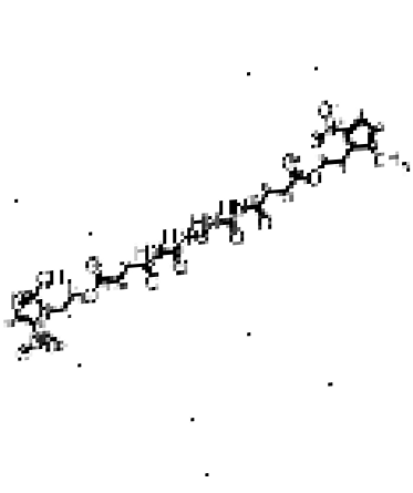 CC1=CC=C([N+](=O)[O-])C1CCOC(=O)CCC(=O)NC(=O)NONC(=O)NC(=O)CCC(=O)OCCn1c([N+](=O)[O-])cnc1C